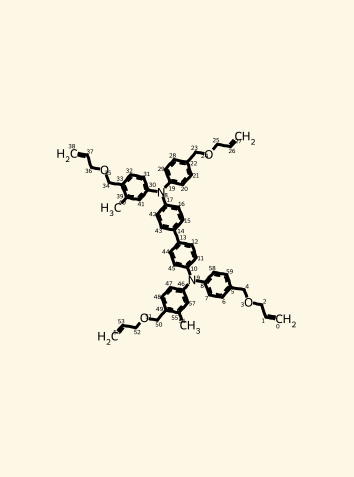 C=CCOCc1ccc(N(c2ccc(-c3ccc(N(c4ccc(COCC=C)cc4)c4ccc(COCC=C)c(C)c4)cc3)cc2)c2ccc(COCC=C)c(C)c2)cc1